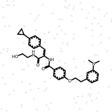 CN(C)c1cccc(CCOc2ccc(C(=O)NC(=Cc3ccc(C4CC4)cc3)C(=O)NCCO)cc2)c1